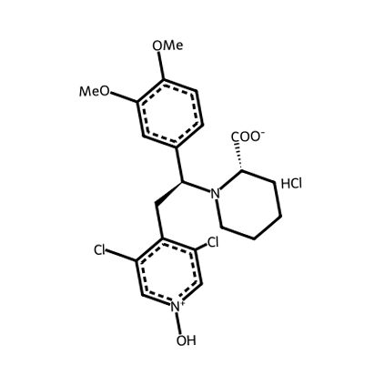 COc1ccc([C@H](Cc2c(Cl)c[n+](O)cc2Cl)N2CCCC[C@H]2C(=O)[O-])cc1OC.Cl